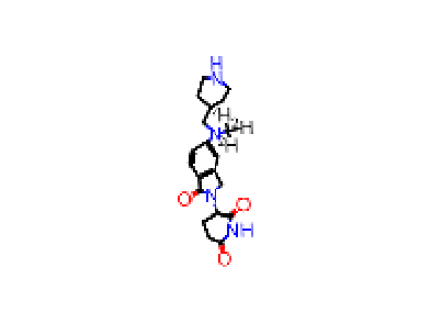 [2H]C([2H])([2H])N(CC1CCNCC1)c1ccc2c(c1)CN(C1CCC(=O)NC1=O)C2=O